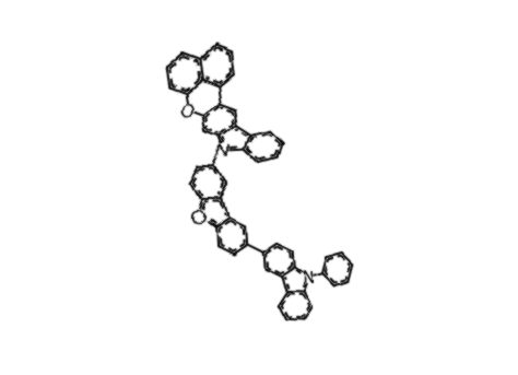 c1ccc(-n2c3ccccc3c3cc(-c4ccc5oc6ccc(-n7c8ccccc8c8cc9c(cc87)Oc7cccc8cccc-9c78)cc6c5c4)ccc32)cc1